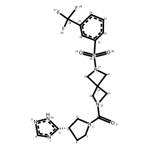 O=C(N1CC[C@H](c2ncn[nH]2)C1)N1CC2(C1)CN(S(=O)(=O)c1cccc(C(F)(F)F)c1)C2